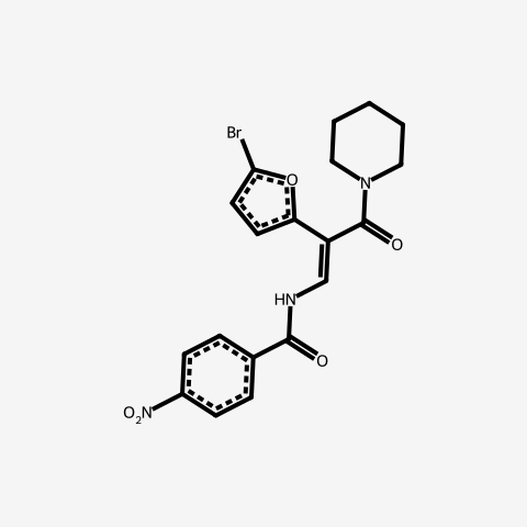 O=C(NC=C(C(=O)N1CCCCC1)c1ccc(Br)o1)c1ccc([N+](=O)[O-])cc1